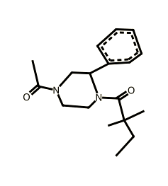 CCC(C)(C)C(=O)N1CCN(C(C)=O)CC1c1ccccc1